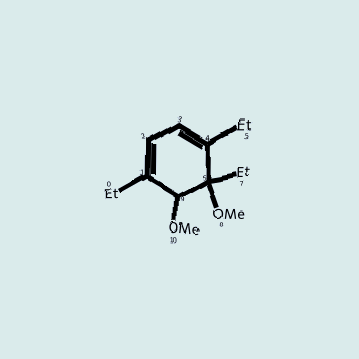 CCC1=CC=C(CC)C(CC)(OC)C1OC